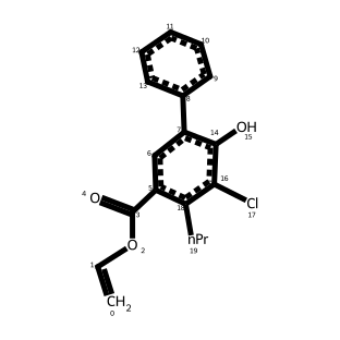 C=COC(=O)c1cc(-c2ccccc2)c(O)c(Cl)c1CCC